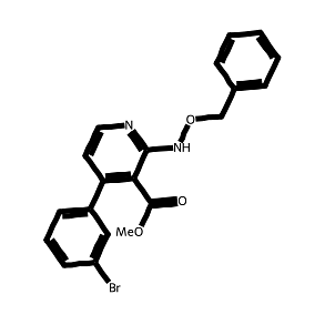 COC(=O)c1c(-c2cccc(Br)c2)ccnc1NOCc1ccccc1